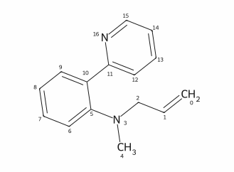 C=CCN(C)c1ccccc1-c1ccccn1